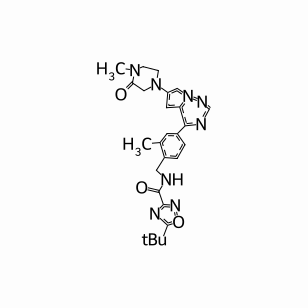 Cc1cc(-c2ncnn3cc(N4CCN(C)C(=O)C4)cc23)ccc1CNC(=O)c1noc(C(C)(C)C)n1